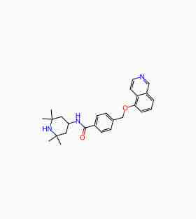 CC1(C)CC(NC(=O)c2ccc(COc3cccc4cnccc34)cc2)CC(C)(C)N1